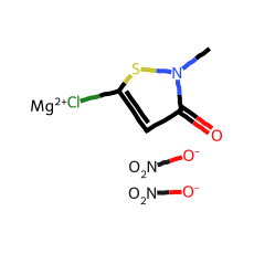 Cn1sc(Cl)cc1=O.O=[N+]([O-])[O-].O=[N+]([O-])[O-].[Mg+2]